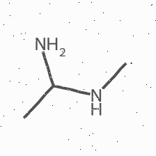 [CH2]NC(C)N